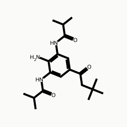 CC(C)C(=O)Nc1cc(C(=O)CC(C)(C)C)cc(NC(=O)C(C)C)c1N